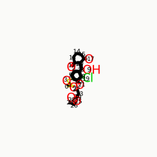 CS(=O)(=O)c1ccc(C(O)=C2C(=O)CCCC2=O)c(Cl)c1OCCC1OCCO1